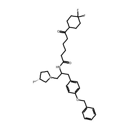 O=C(CCCCC(=O)C1CCC(F)(F)CC1)NC(Cc1ccc(OCc2ccccc2)cc1)CN1CC[C@@H](F)C1